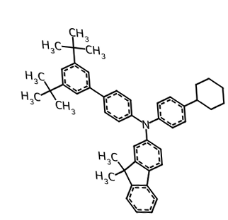 CC(C)(C)c1cc(-c2ccc(N(c3ccc(C4CCCCC4)cc3)c3ccc4c(c3)C(C)(C)c3ccccc3-4)cc2)cc(C(C)(C)C)c1